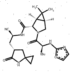 CC(C)(C)[C@H](Nc1ncco1)C(=O)N1C[C@H]2[C@@H]([C@H]1C(=O)N[C@H](C#N)C[C@@H]1CC3(CC3)NC1=O)C2(C)C